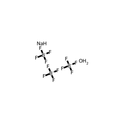 F[B-](F)(F)F.F[B-](F)(F)F.F[B-](F)(F)F.O.[NaH]